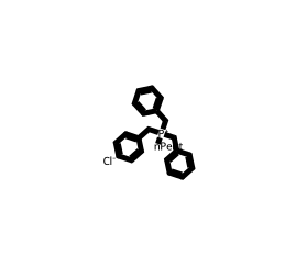 CCCCC[P+](Cc1ccccc1)(Cc1ccccc1)Cc1ccccc1.[Cl-]